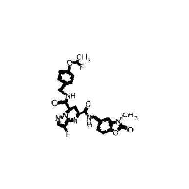 CC(F)Oc1ccc(CNC(=O)c2cc(C(=O)NCc3ccc4oc(=O)n(C)c4c3)nc3c(F)cnn23)cc1